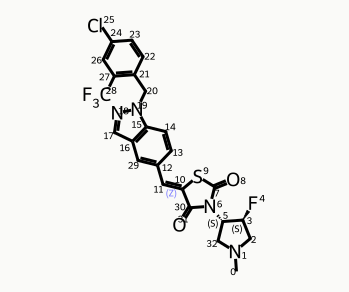 CN1C[C@H](F)[C@@H](N2C(=O)S/C(=C\c3ccc4c(cnn4Cc4ccc(Cl)cc4C(F)(F)F)c3)C2=O)C1